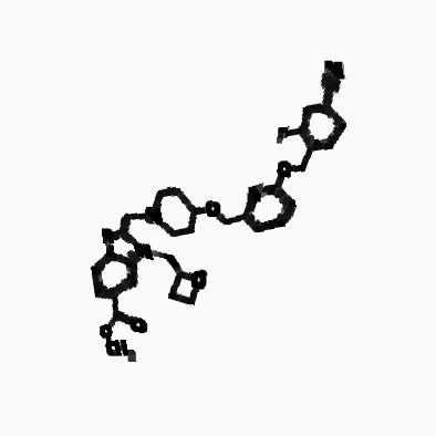 COC(=O)c1ccc2nc(CN3CCC(OCc4cccc(OCc5ccc(C#N)cc5F)n4)CC3)n(C[C@@H]3CCO3)c2c1